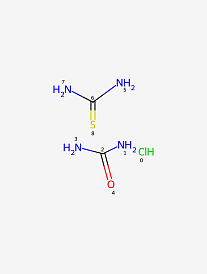 Cl.NC(N)=O.NC(N)=S